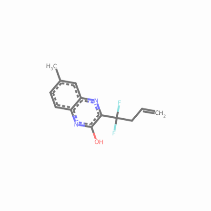 C=CCC(F)(F)c1nc2cc(C)ccc2nc1O